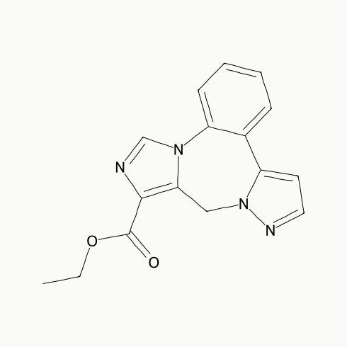 CCOC(=O)c1ncn2c1Cn1nccc1-c1ccccc1-2